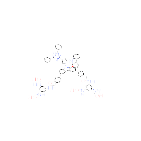 O=C(Cc1ccc(-c2ccc3c(c2)c2cc(-c4ccc(CC(=O)Nc5cc(NCO)cc(NCO)c5)cc4)ccc2n3C2C=C(c3nc(-c4ccccc4)nc(-c4ccccc4)n3)C=C2n2c3ccccc3c3ccccc32)cc1)Nc1cc(NCO)cc(NCO)c1